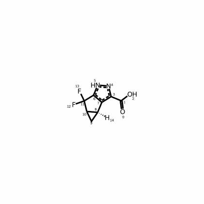 O=C(O)c1n[nH]c2c1[C@H]1CC1C2(F)F